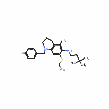 CCSc1cc2c(c(C)c1NCCC(C)(C)C)CCCN2Cc1ccc(F)cc1